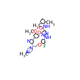 COc1cc(-c2cccnc2)ccc1Oc1nc(Nc2ccc(OCCCN3CCN(C)CC3)c(F)c2)ncc1C(=O)Nc1c(C)cccc1C